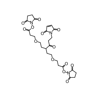 O=C(CCOCCC(CCOCCC(=O)ON1C(=O)CCC1=O)C(=O)CCN1C(=O)C=CC1=O)ON1C(=O)CCC1=O